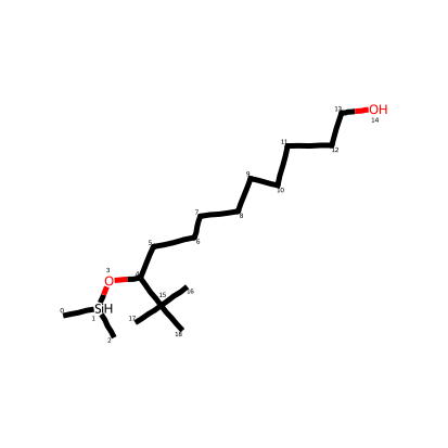 C[SiH](C)OC(CCCCCCCCCO)C(C)(C)C